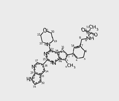 Cc1c(C2=CCCC(CNS(C)(=O)=O)=C2)sc2c(N3CCOCC3)nc(-c3cnc4[nH]ccc4c3)nc12